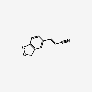 N#CC=Cc1ccc2c(c1)COO2